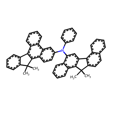 CC1(C)c2ccc3ccccc3c2-c2cc(N(c3ccccc3)c3ccc4c5c(c6ccccc6c4c3)-c3ccccc3C5(C)C)c3ccccc3c21